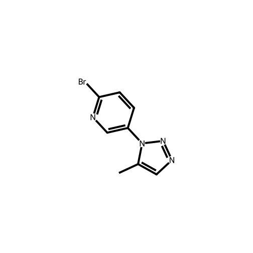 Cc1cnnn1-c1ccc(Br)nc1